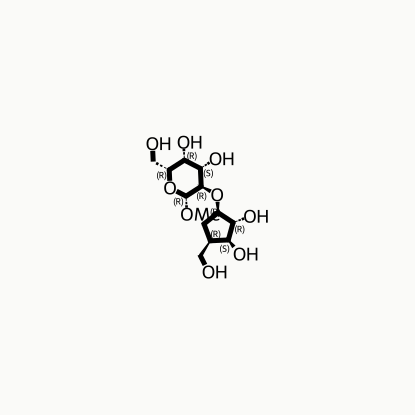 CO[C@@H]1O[C@H](CO)[C@H](O)[C@H](O)[C@H]1O[C@@H]1C[C@H](CO)[C@H](O)[C@H]1O